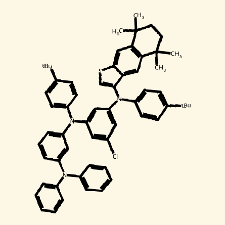 CC(C)(C)c1ccc(N(c2cccc(N(c3ccccc3)c3ccccc3)c2)c2cc(Cl)cc(N(c3ccc(C(C)(C)C)cc3)c3csc4cc5c(cc34)C(C)(C)CCC5(C)C)c2)cc1